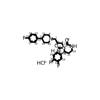 Cl.NC(=O)[N+]1(CCCN2CCC(c3ccc(F)cc3)CC2)C(=O)NCC[C@H]1c1ccc(F)c(F)c1